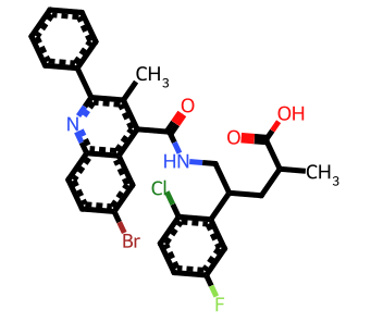 Cc1c(-c2ccccc2)nc2ccc(Br)cc2c1C(=O)NCC(CC(C)C(=O)O)c1cc(F)ccc1Cl